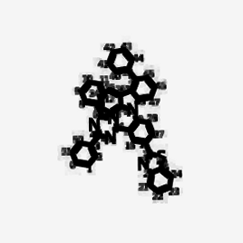 c1ccc(-c2nc(-c3ccccc3)nc(-c3cc(-c4nc5ccccc5s4)ccc3-n3c4ccccc4c4c(-c5ccccc5)cccc43)n2)cc1